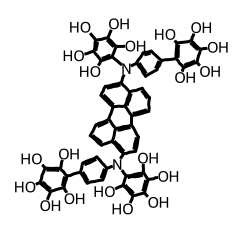 Oc1c(O)c(O)c(-c2ccc(N(c3c(O)c(O)c(O)c(O)c3O)c3ccc4c5cccc6c(N(c7ccc(-c8c(O)c(O)c(O)c(O)c8O)cc7)c7c(O)c(O)c(O)c(O)c7O)ccc(c7cccc3c74)c65)cc2)c(O)c1O